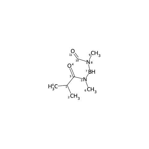 CC(C)C(=O)N(C)BN(C)C=O